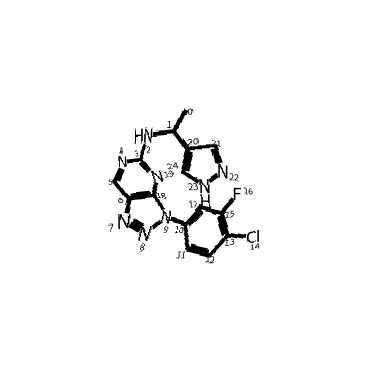 CC(Nc1ncc2nnn(-c3ccc(Cl)c(F)c3)c2n1)c1cn[nH]c1